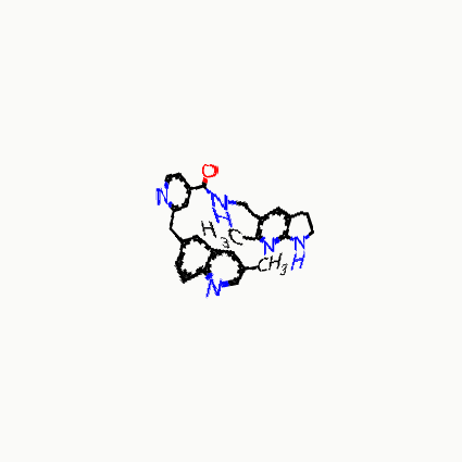 Cc1cnc2ccc(Cc3cc(C(=O)NCc4cc5c(nc4C)NCC5)ccn3)cc2c1